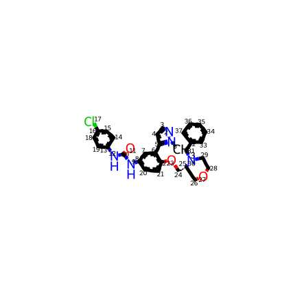 Cn1nccc1-c1cc(NC(=O)Nc2ccc(Cl)cc2)ccc1OC[C@H]1COCCN1Cc1ccccc1